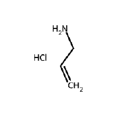 C=CCN.Cl